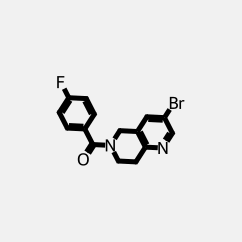 O=C(c1ccc(F)cc1)N1CCc2ncc(Br)cc2C1